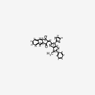 Cn1c(-c2ccccc2)nc2c1nc(C=C1C(=O)c3cc4ccccc4cc3C1=O)n2-c1nccs1